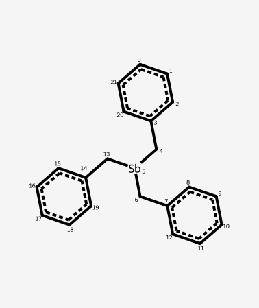 c1ccc([CH2][Sb]([CH2]c2ccccc2)[CH2]c2ccccc2)cc1